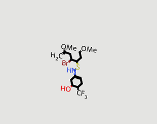 C=C(CC(Br)C(CCOC)SNC1=CCC(C(F)(F)F)C(O)C1)OC